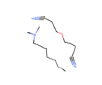 CCCCCCN(C)C.N#CCCOCCC#N